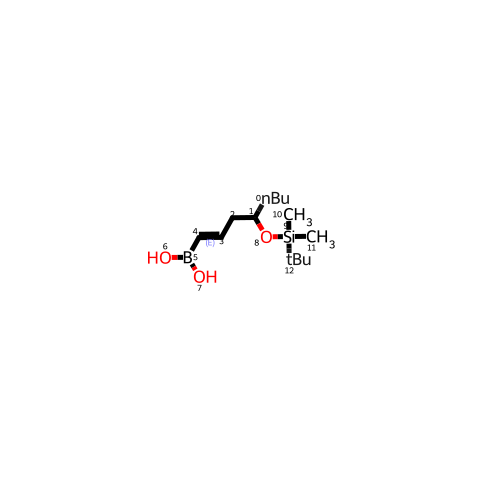 CCCCC(C/C=C/B(O)O)O[Si](C)(C)C(C)(C)C